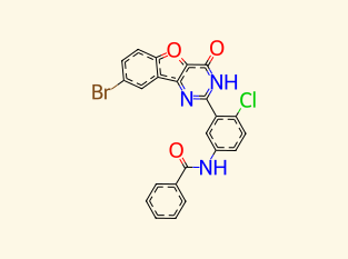 O=C(Nc1ccc(Cl)c(-c2nc3c(oc4ccc(Br)cc43)c(=O)[nH]2)c1)c1ccccc1